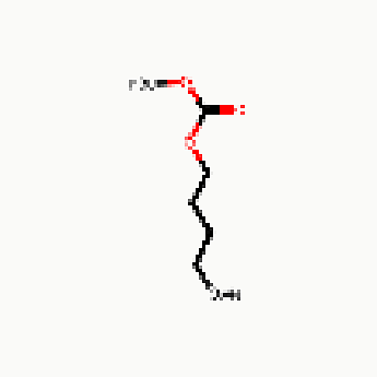 CCCCOC(=O)OCCCCOC